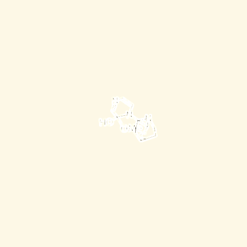 COC1(O)C=NC=CN1C1CC2CCN1CC2